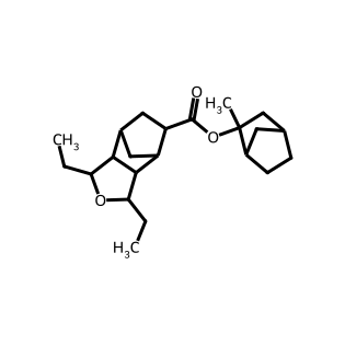 CCC1OC(CC)C2C3CC(CC3C(=O)OC3(C)CC4CCC3C4)C12